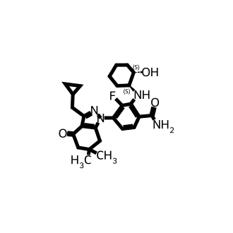 CC1(C)CC(=O)c2c(CC3CC3)nn(-c3ccc(C(N)=O)c(N[C@H]4CCCC[C@@H]4O)c3F)c2C1